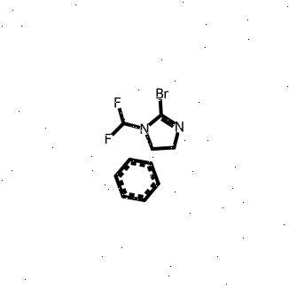 FC(F)N1CCN=C1Br.c1ccccc1